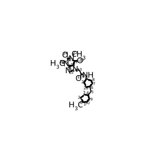 Cc1ccc(Cc2ccc(NC(=O)Cn3cnc4c3c(=O)n(C)c(=O)n4C)cc2)cc1